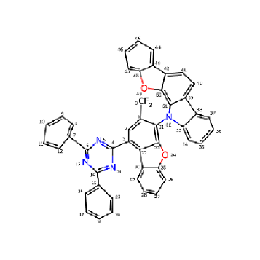 FC(F)(F)c1cc(-c2nc(-c3ccccc3)nc(-c3ccccc3)n2)c2c(oc3ccccc32)c1-n1c2ccccc2c2ccc3c4ccccc4oc3c21